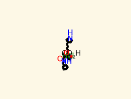 Cl.O=C(O)CC(C(=O)NCc1ccccc1)c1ccccc1OCCCCC1CCNCC1